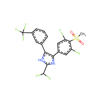 CS(=O)(=O)c1c(F)cc(-c2nc(C(F)F)[nH]c2-c2cccc(C(F)(F)F)c2)cc1F